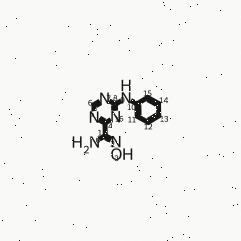 NC(=NO)c1ncnc(Nc2ccccc2)n1